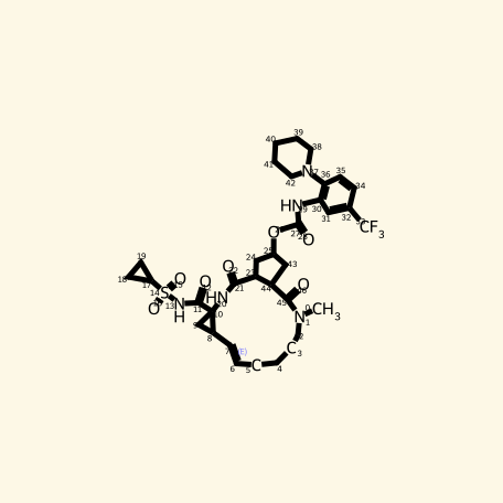 CN1CCCC/C=C/C2CC2(C(=O)NS(=O)(=O)C2CC2)NC(=O)C2CC(OC(=O)Nc3cc(C(F)(F)F)ccc3N3CCCCC3)CC2C1=O